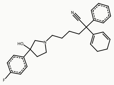 N#CC(CCCCN1CCC(O)(c2ccc(F)cc2)C1)(C1=CCCC=C1)c1ccccc1